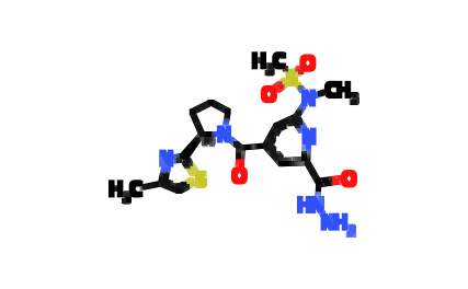 Cc1csc([C@H]2CCCN2C(=O)c2cc(C(=O)NN)nc(N(C)S(C)(=O)=O)c2)n1